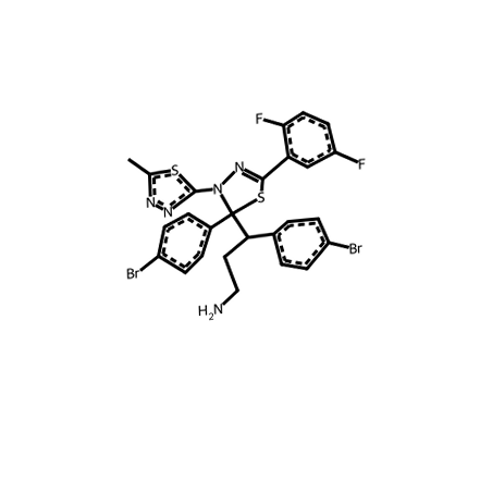 Cc1nnc(N2N=C(c3cc(F)ccc3F)SC2(c2ccc(Br)cc2)C(CCN)c2ccc(Br)cc2)s1